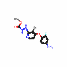 CCc1c(Oc2ccc(N)cc2F)ccnc1NNC(=O)OC(C)(C)C